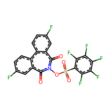 O=c1c2cc(F)ccc2c2ccc(F)cc2c(=O)n1OS(=O)(=O)c1c(F)c(F)c(F)c(F)c1F